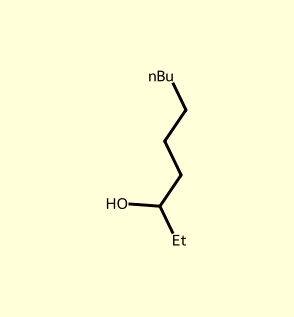 CCCCCCCC(O)CC